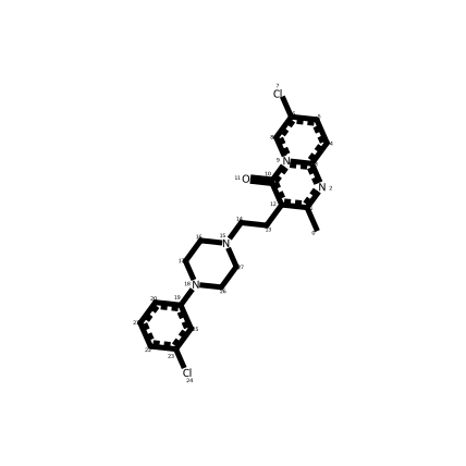 Cc1nc2ccc(Cl)cn2c(=O)c1CCN1CCN(c2cccc(Cl)c2)CC1